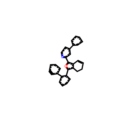 c1cccc(-c2ccccc2-c2oc(-c3cc(-c4ccccc4)ccn3)c3c2CCC=C3)c#1